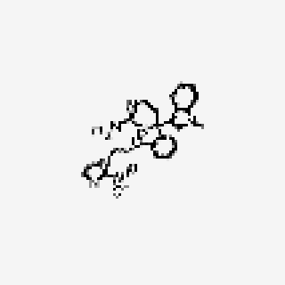 Cn1cc(C2(c3ccccc3OCCn3ccnc3[N+](=O)[O-])C=CN=C(N)N2F)c2ccccc21